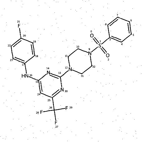 O=S(=O)(c1ccccc1)N1CCN(c2nc(Nc3ccc(F)cc3)cc(C(F)(F)F)n2)CC1